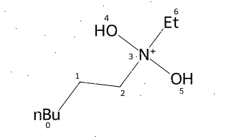 CCCCCC[N+](O)(O)CC